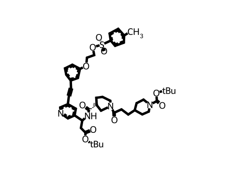 Cc1ccc(S(=O)(=O)OCCOc2cccc(C#Cc3cncc(C(CC(=O)OC(C)(C)C)NC(=O)[C@@H]4CCCN(C(=O)CCC5CCN(C(=O)OC(C)(C)C)CC5)C4)c3)c2)cc1